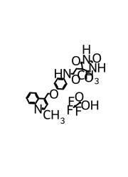 Cc1cc(COc2ccc(NC(=O)CC3(C)C(=O)NC(=O)NC3=O)cc2)c2ccccc2n1.O=C(O)C(F)(F)F